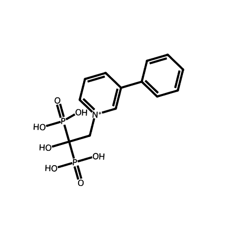 O=P(O)(O)C(O)(C[n+]1cccc(-c2ccccc2)c1)P(=O)(O)O